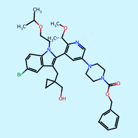 CO[C@@H](C)c1ncc(N2CCN(C(=O)OCc3ccccc3)CC2)cc1-c1c(CC2(CO)CC2)c2cc(Br)ccc2n1CCOC(C)C